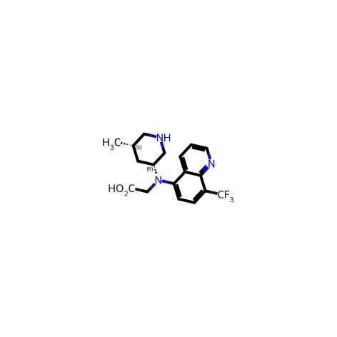 C[C@@H]1CNC[C@H](N(CC(=O)O)c2ccc(C(F)(F)F)c3ncccc23)C1